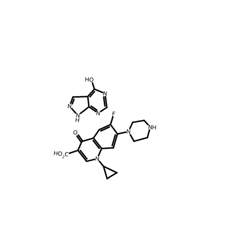 O=C(O)c1cn(C2CC2)c2cc(N3CCNCC3)c(F)cc2c1=O.Oc1ncnc2[nH]ncc12